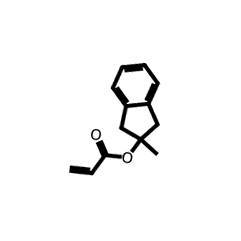 C=CC(=O)OC1(C)Cc2ccccc2C1